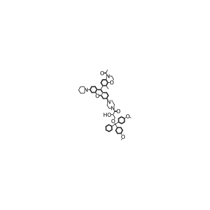 COc1ccc(C(OCC(O)C(=O)N2CC[N+](=c3ccc4c(-c5ccc6c(c5C)OCCN6C(C)=O)c5ccc(N6CCCCC6)cc5oc-4c3)CC2)(c2ccccc2)c2ccc(OC)cc2)cc1